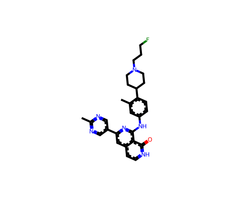 Cc1ncc(-c2cc3cc[nH]c(=O)c3c(Nc3ccc(C4CCN(CCCF)CC4)c(C)c3)n2)cn1